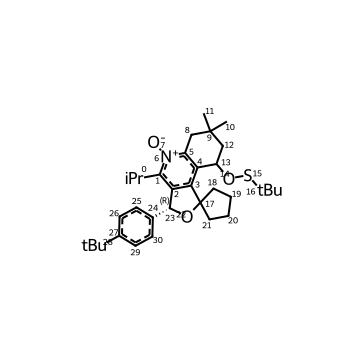 CC(C)c1c2c(c3c([n+]1[O-])CC(C)(C)CC3OSC(C)(C)C)C1(CCCC1)O[C@@H]2c1ccc(C(C)(C)C)cc1